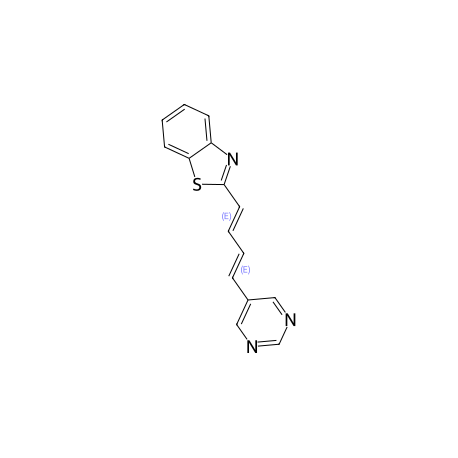 C(/C=C/c1nc2ccccc2s1)=C\c1cncnc1